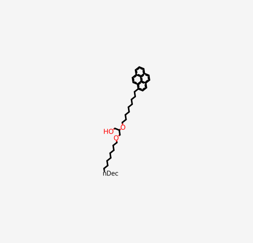 CCCCCCCCCCCCCCCCCCOCC(CO)OCCCCCCCCCc1ccc2ccc3cccc4ccc1c2c34